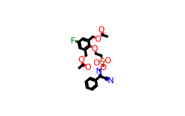 CC(=O)OCc1cc(F)cc(COC(C)=O)c1OCCS(=O)(=O)O/N=C(\C#N)c1ccccc1